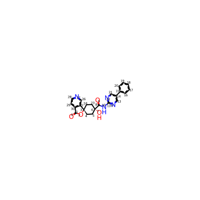 O=C1O[C@]2(CC[C@](O)(C(=O)Nc3ncc(-c4ccccc4)cn3)CC2)c2cnccc21